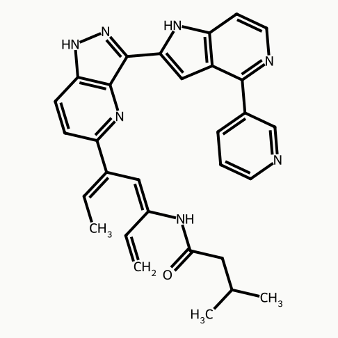 C=C/C(=C\C(=C/C)c1ccc2[nH]nc(-c3cc4c(-c5cccnc5)nccc4[nH]3)c2n1)NC(=O)CC(C)C